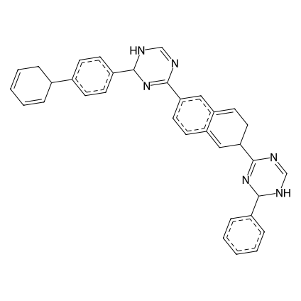 C1=CCC(c2ccc(C3N=C(c4ccc5c(c4)=CCC(C4=NC(c6ccccc6)NC=N4)C=5)N=CN3)cc2)C=C1